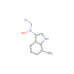 Cc1cccc2c(N(O)CCl)c[nH]c12